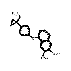 COc1cc2nccc(Oc3ccc(C4(CC(=O)O)CC4)cc3)c2cc1OC